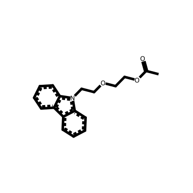 CC(=O)OCCOCCn1c2ccccc2c2ccccc21